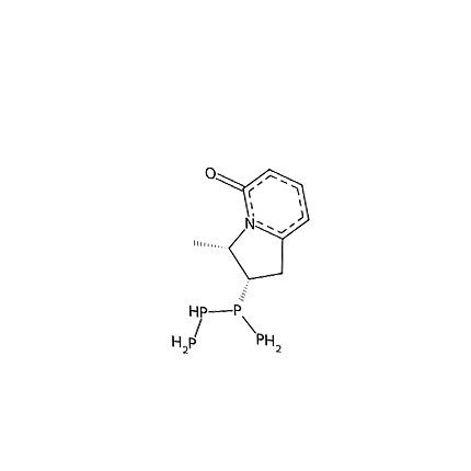 C[C@H]1[C@@H](P(P)PP)Cc2cccc(=O)n21